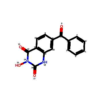 O=C(c1ccccc1)c1ccc2c(=O)n(O)c(=O)[nH]c2c1